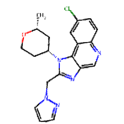 C[C@@H]1C[C@H](n2c(Cn3cccn3)nc3cnc4ccc(Cl)cc4c32)CCO1